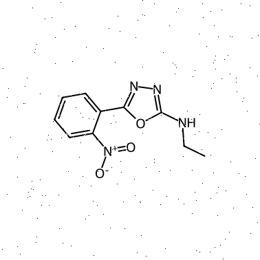 CCNc1nnc(-c2ccccc2[N+](=O)[O-])o1